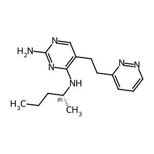 CCC[C@@H](C)Nc1nc(N)ncc1CCc1cccnn1